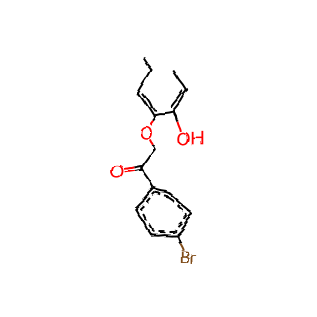 C/C=C(O)\C(=C/CC)OCC(=O)c1ccc(Br)cc1